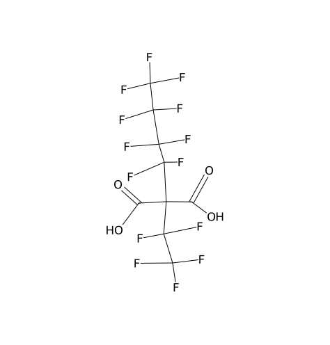 O=C(O)C(C(=O)O)(C(F)(F)C(F)(F)F)C(F)(F)C(F)(F)C(F)(F)C(F)(F)F